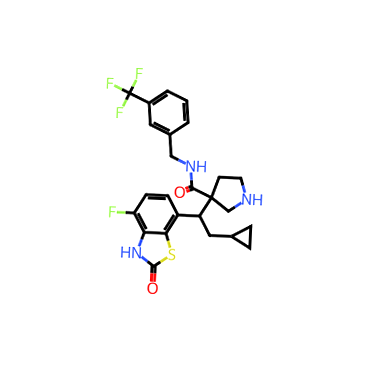 O=C(NCc1cccc(C(F)(F)F)c1)C1(C(CC2CC2)c2ccc(F)c3[nH]c(=O)sc23)CCNC1